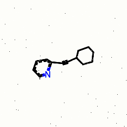 C(#CC1CCCCC1)c1ccc[c]n1